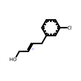 OC/C=C/Cc1cccc(Cl)c1